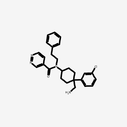 NCC1(c2cccc(Cl)c2)CCC(N(CCc2ccccc2)C(=O)c2ccnnc2)CC1